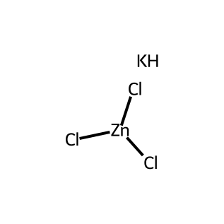 [Cl][Zn]([Cl])[Cl].[KH]